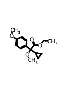 CCOC(=O)C(OC)(c1ccc(OC)cc1)C1CC1